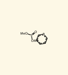 COS(=O)OC.b1ccccc1